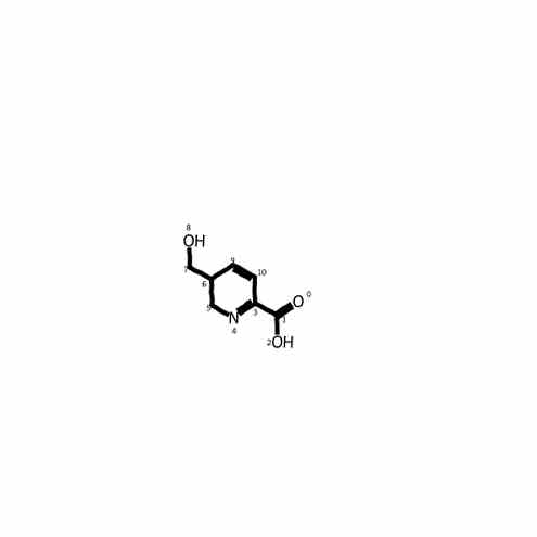 O=C(O)C1=NCC(CO)C=C1